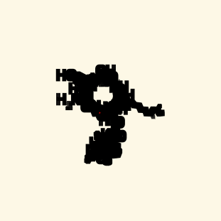 CC[C@H](C)C[C@H](C)CCCCCCCCC(=O)N[C@H]1C[C@@H](O)[C@@H](NCCNC(=O)CCNC(=O)[C@H](Cc2ccccc2)NC(=O)[C@H](CC(C)C)NC(=O)[C@H](CCSC)NC(=O)OCC(C)C)NC(=O)[C@@H]2[C@@H](O)CCN2C(=O)[C@H]([C@H](O)CCN)NC(=O)[C@H]([C@H](O)[C@@H](O)c2ccc(O)cc2)NC(=O)[C@@H]2C[C@@H](O)CN2C(=O)[C@H]([C@@H](C)O)NC1=O